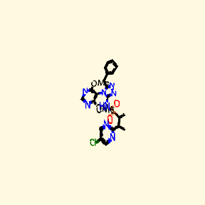 COc1ncnc(OC)c1-n1c(Cc2ccccc2)nnc1NS(=O)(=O)C(C)C(C)c1ncc(Cl)cn1